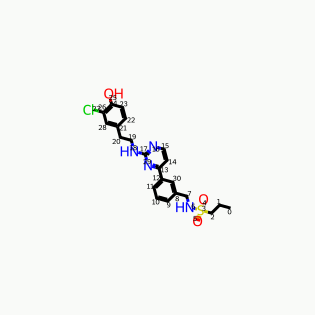 CCCS(=O)(=O)NCc1cccc(-c2ccnc(NCCc3ccc(O)c(Cl)c3)n2)c1